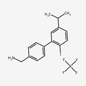 CC(C)c1ccc(I)c(-c2ccc(CN)cc2)c1.F[B-](F)(F)F